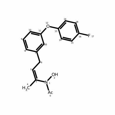 CC(=O)N(O)C(C)=CCc1cccc(Oc2ccc(F)cc2)c1